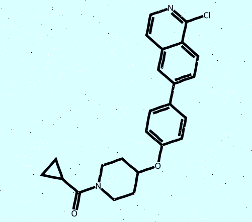 O=C(C1CC1)N1CCC(Oc2ccc(-c3ccc4c(Cl)nccc4c3)cc2)CC1